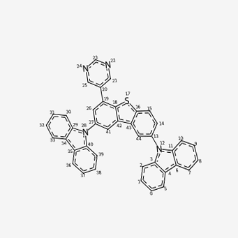 c1ccc2c(c1)c1ccccc1n2-c1ccc2sc3c(-c4cncnc4)cc(-n4c5ccccc5c5ccccc54)cc3c2c1